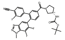 Cn1nnc2cc(-c3ccc(C(=O)N4CC[C@H](NC(=O)OC(C)(C)C)C4)cc3-c3ccc(C#N)c(F)c3)c(F)c(F)c21